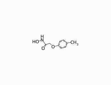 Cc1ccc(OCC(=O)NO)cc1